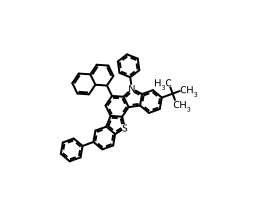 CC(C)(C)c1ccc2c3c4sc5ccc(-c6ccccc6)cc5c4cc(C4C=CC=C5C=CC=CC54)c3n(-c3ccccc3)c2c1